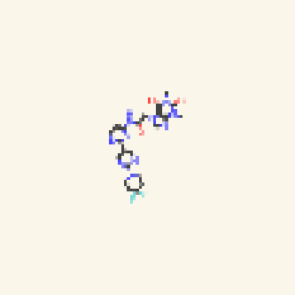 C[C@@H](C(=O)Nc1ccnc(-c2cnc(N3CCC(F)(F)CC3)nc2)n1)n1cnc2c1c(=O)n(C)c(=O)n2C